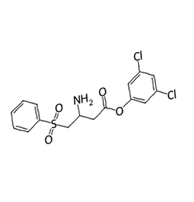 NC(CC(=O)Oc1cc(Cl)cc(Cl)c1)CS(=O)(=O)c1ccccc1